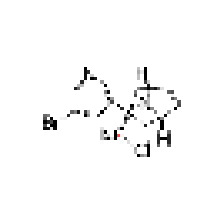 C=C(Cl)CN1[C@@H]2C=C[C@H]1CC(C#N)(c1cncc(Br)c1)C2